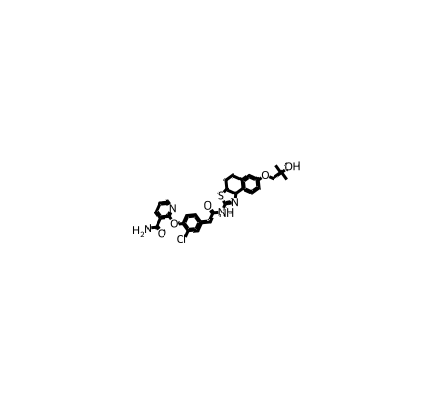 CC(C)(O)COc1ccc2c(c1)CCC1SC(NC(=O)Cc3ccc(Oc4ncccc4C(N)=O)c(Cl)c3)=NC21